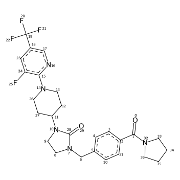 O=C(c1ccc(CN2CCN(C3CCN(c4ncc(C(F)(F)F)cc4F)CC3)C2=O)cc1)N1CCCC1